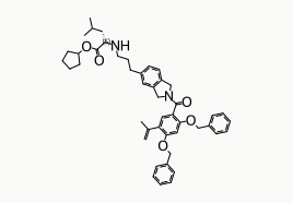 C=C(C)c1cc(C(=O)N2Cc3ccc(CCCN[C@@H](CC(C)C)C(=O)OC4CCCC4)cc3C2)c(OCc2ccccc2)cc1OCc1ccccc1